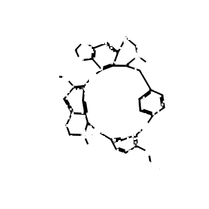 COc1ccc2cc1Oc1ccc(cc1)C[C@H]1c3c(cc4c(c3Oc3cc5c(cc3OC)CCN(C)[C@@H]5C2)OCO4)CCN1C.Cl